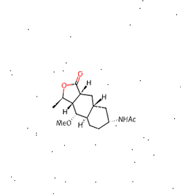 CO[C@H]1[C@@H]2CC[C@@H](NC(C)=O)C[C@H]2C[C@H]2C(=O)O[C@H](C)[C@@H]12